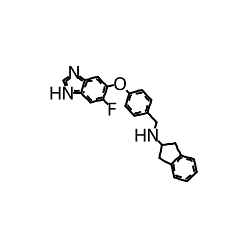 Fc1cc2[nH]cnc2cc1Oc1ccc(CNC2Cc3ccccc3C2)cc1